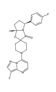 O=C1N2[C@@H](CC[C@H]2c2ccc(F)cc2)OC12CCN(c1ccnc3c(F)cnn13)CC2